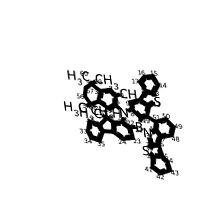 Cc1cc2c(cc1N1c3cc4c(sc5ccccc54)c4c3B(c3ccc5c(c31)C(C)(C)c1ccccc1-5)n1c3sc5ccccc5c3c3cccc-4c31)C(C)(C)CCC2(C)C